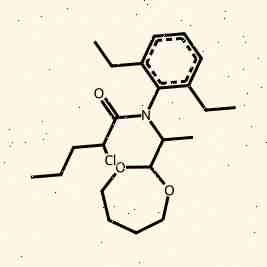 CCCC(Cl)C(=O)N(c1c(CC)cccc1CC)C(C)C1OCCCCO1